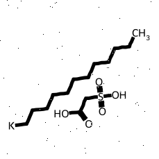 CCCCCCCCCCC[CH2][K].O=C(O)CS(=O)(=O)O